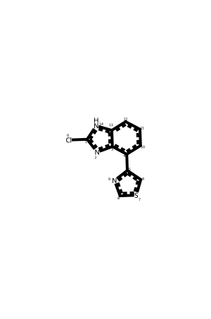 Clc1nc2c(-c3cscn3)cccc2[nH]1